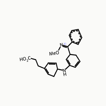 CO/N=C(/c1ccccc1)C1C=C(NC2C=CC(CCC(=O)O)=CC2)C=CC1